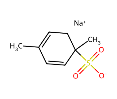 CC1=CCC(C)(S(=O)(=O)[O-])C=C1.[Na+]